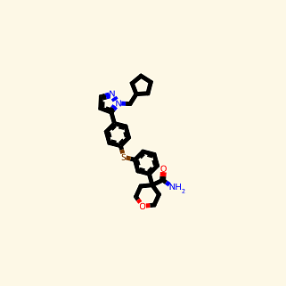 NC(=O)C1(c2cccc(Sc3ccc(-c4ccnn4CC4CCCC4)cc3)c2)CCOCC1